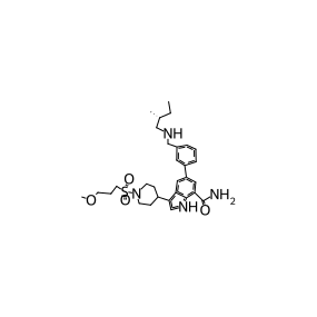 CC[C@@H](C)CNCc1cccc(-c2cc(C(N)=O)c3[nH]cc(C4CCN(S(=O)(=O)CCCOC)CC4)c3c2)c1